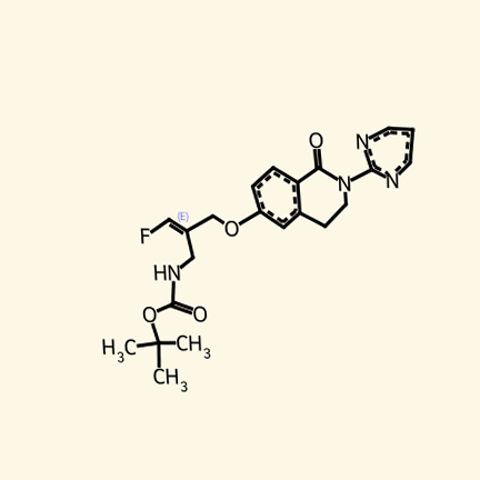 CC(C)(C)OC(=O)NC/C(=C\F)COc1ccc2c(c1)CCN(c1ncccn1)C2=O